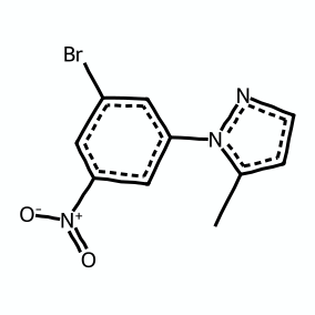 Cc1ccnn1-c1cc(Br)cc([N+](=O)[O-])c1